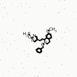 COc1ccc2c(c1)C(/C=C/c1cnc(OC)nc1)N(OCc1ccccc1)CC2